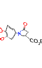 CCOC(=O)C1CC(=O)N(c2ccc3c(c2)OCO3)C1